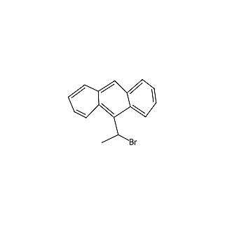 CC(Br)c1c2ccccc2cc2ccccc12